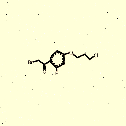 O=C(CBr)c1ccc(OCCCCl)cc1F